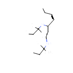 CC/C=C\C(CCNC(C)(C)CC)NC(C)(C)CC